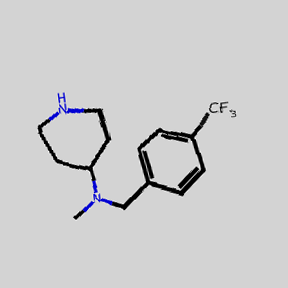 CN(Cc1ccc(C(F)(F)F)cc1)C1CCNCC1